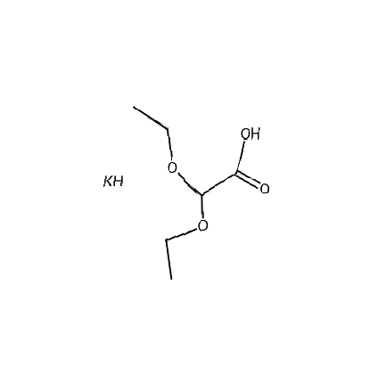 CCOC(OCC)C(=O)O.[KH]